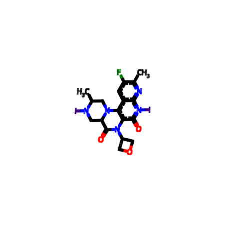 Cc1nc2c(cc1F)c1c(c(=O)n2I)N(C2COC2)C(=O)C2CN(I)C(C)CN12